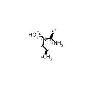 C=CCN(C(N)=S)S(=O)(=O)O